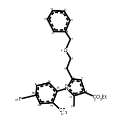 CCOC(=O)c1cc(CCOCc2ccccc2)n(-c2ccc(F)cc2C(F)(F)F)c1C